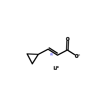 O=C([O-])/C=C/C1CC1.[Li+]